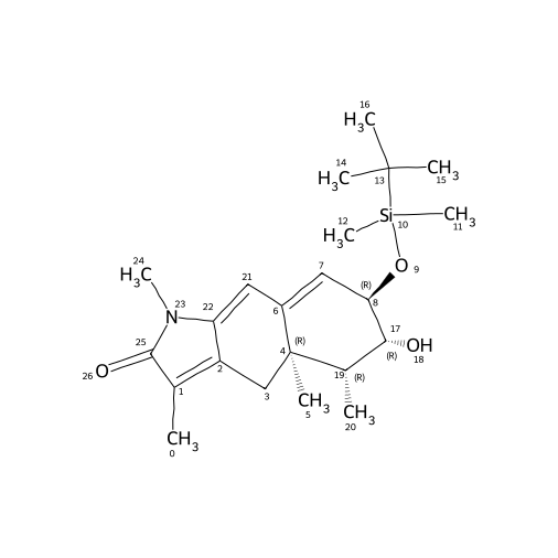 CC1=C2C[C@@]3(C)C(=C[C@@H](O[Si](C)(C)C(C)(C)C)[C@H](O)[C@@H]3C)C=C2N(C)C1=O